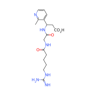 Cc1ncccc1C(CC(=O)O)NC(=O)CNC(=O)CCCCNC(=N)N